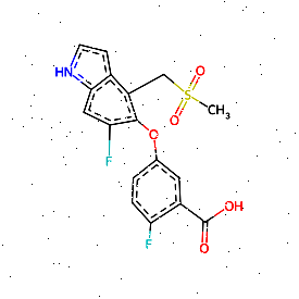 CS(=O)(=O)Cc1c(Oc2ccc(F)c(C(=O)O)c2)c(F)cc2[nH]ccc12